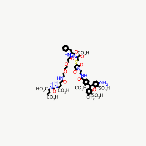 C=c1ccc2c(c1S(=O)(=O)O)Oc1c(ccc(N)c1S(=O)(=O)O)C=2c1ccc(C(=O)NCCN2C(=O)CC(SCC(NC(=O)C(Cc3ccccc3)NC(=O)CCOCCOCCNC(=O)CC[C@@H](NC(=O)N[C@H](CCC(=O)O)C(=O)O)C(=O)O)C(=O)C(=O)O)C2=O)cc1C(=O)O